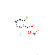 CC(=O)OC(=O)c1c(F)cccc1F